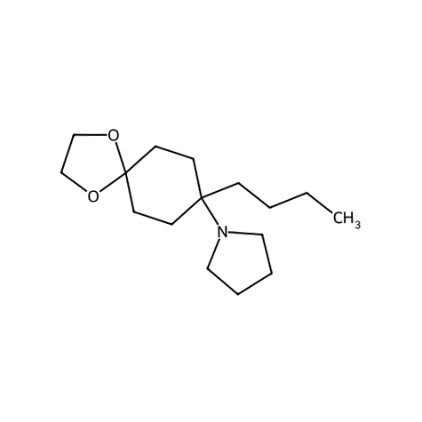 CCCCC1(N2CCCC2)CCC2(CC1)OCCO2